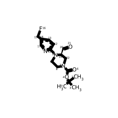 CC(C)(C)OC(=O)N1CCN(c2ccc(CF)cn2)[C@@H](C=O)C1